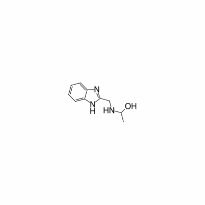 CC(O)NCc1nc2ccccc2[nH]1